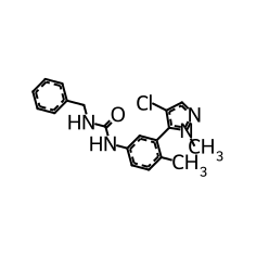 Cc1ccc(NC(=O)NCc2ccccc2)cc1-c1c(Cl)cnn1C